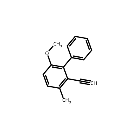 C#Cc1c(C)ccc(OC)c1-c1ccccc1